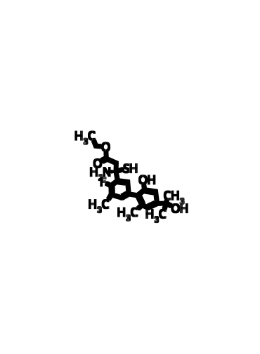 CCOC(=O)C[C@](N)(S)c1cc(-c2c(C)cc(C(C)(C)O)cc2O)cc(C)c1F